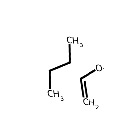 C=C[O].CCCC